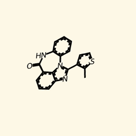 Cc1sccc1-c1nc2cccc3c2n1-c1ccccc1NC3=O